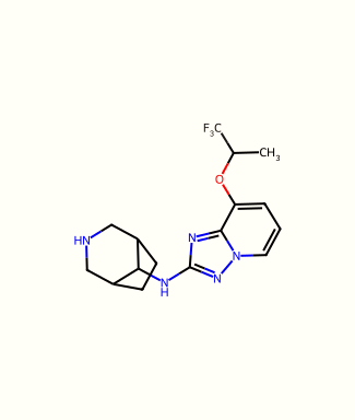 CC(Oc1cccn2nc(NC3C4CCC3CNC4)nc12)C(F)(F)F